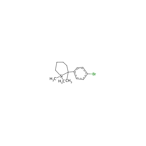 CC1(c2ccc(Br)cc2)CCCC[Si]1(C)C